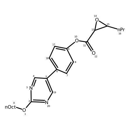 CCCCCCCCOc1ncc(-c2ccc(OC(=O)C3OC3CCC)cc2)cn1